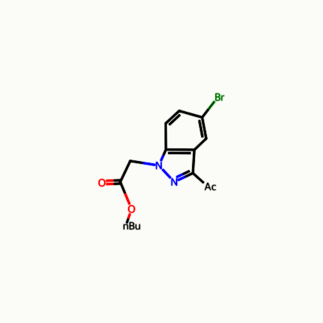 CCCCOC(=O)Cn1nc(C(C)=O)c2cc(Br)ccc21